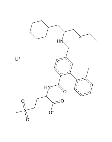 CCSCC(CC1CCCCC1)NCc1ccc(C(=O)NC(CCS(C)(=O)=O)C(=O)[O-])c(-c2ccccc2C)c1.[Li+]